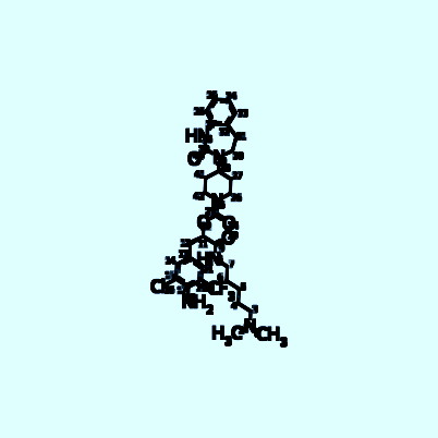 CN(C)CCCCCNC(=O)[C@@H](Cc1cc(Cl)c(N)c(C(F)(F)F)c1)OC(=O)N1CCC(N2CCc3ccccc3NC2=O)CC1